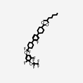 CCCCCC1COC(C2CCC(c3ccc(C4CCC(C(F)(F)Oc5cc(F)c(OC(F)(F)C(F)F)c(F)c5)CC4)c(F)c3)CC2)OC1